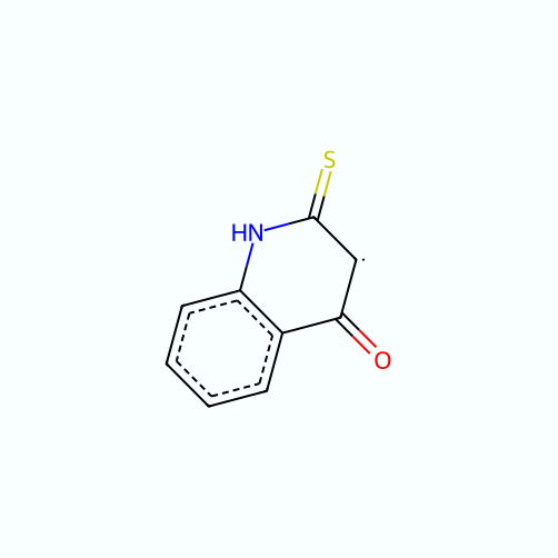 O=C1[CH]C(=S)Nc2ccccc21